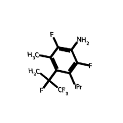 Cc1c(F)c(N)c(F)c(C(C)C)c1C(C)(F)C(F)(F)F